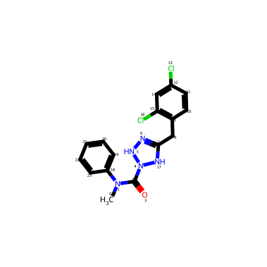 CN(C(=O)N1NN=C(Cc2ccc(Cl)cc2Cl)N1)c1ccccc1